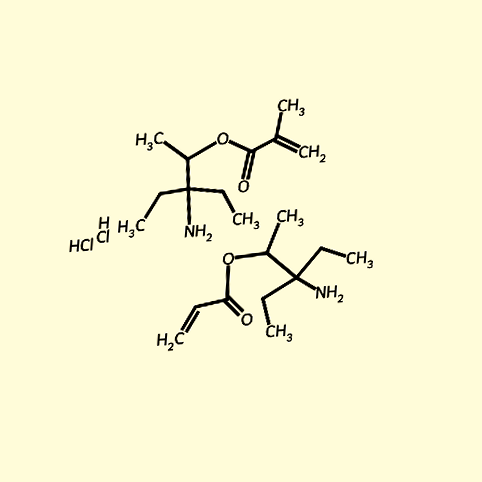 C=C(C)C(=O)OC(C)C(N)(CC)CC.C=CC(=O)OC(C)C(N)(CC)CC.Cl.Cl